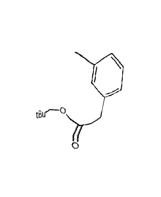 Cc1cccc(CC(=O)OC(C)(C)C)c1